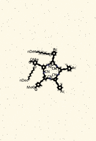 [C-]#[N+]/C1=C\c2cc(C#Cc3ccc(C(=O)OC)cc3OCCCCCCCCCCCCCCCCCC)cc(c2)/C(C#N)=C/c2cc(C#Cc3ccc(C(=O)OC)cc3C)cc(c2)/C(C#N)=C/c2cc(C#Cc3ccc(C(C)=O)cc3C)cc(c2)/C([N+]#[C-])=C/c2cc(C#Cc3ccc(C(C)=O)cc3C)cc(c2)/C([N+]#[C-])=C/c2cc(C#Cc3ccc(C(C)=O)cc3OCCCCCCCCCCCCCCCCCC)cc1c2